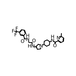 Cc1cccc(C(=O)NC2CCC(N3CC[C@@H](NC(=O)CNC(=O)c4cccc(C(F)(F)F)c4)C3)CC2)n1